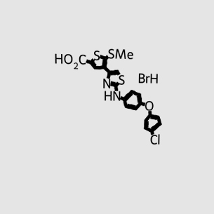 Br.CSc1sc(C(=O)O)cc1-c1csc(Nc2ccc(Oc3ccc(Cl)cc3)cc2)n1